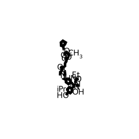 CCNC(=O)c1nnc(-c2cc(C(C)C)c(O)cc2O)n1-c1ccc(CN2CCN(C(=O)CCCC(=O)O[C@@H](C)C(=O)OCc3ccccc3)CC2)cc1